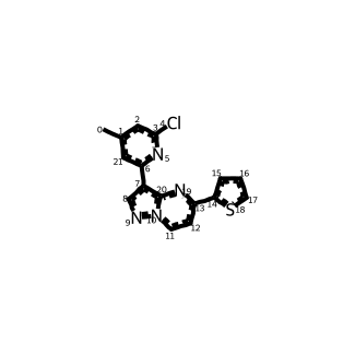 Cc1cc(Cl)nc(-c2cnn3ccc(-c4cccs4)nc23)c1